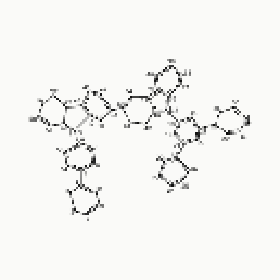 C1=CCCC(c2ccc(N3c4cc(C5=Cc6c(n(-c7cc(-c8ccccc8)cc(C8C=CN=CC8)c7)c7ccccc67)CC5)ccc4C4CCC=CC43)cc2)=C1